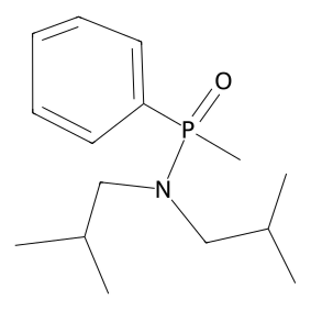 CC(C)CN(CC(C)C)P(C)(=O)c1ccccc1